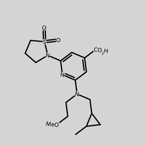 COCCN(CC1CC1C)c1cc(C(=O)O)cc(N2CCCS2(=O)=O)n1